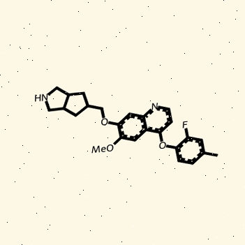 COc1cc2c(Oc3ccc(C)cc3F)ccnc2cc1OCC1CC2CNCC2C1